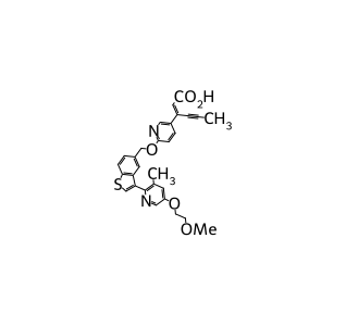 CC#C/C(=C\C(=O)O)c1ccc(OCc2ccc3scc(-c4ncc(OCCOC)cc4C)c3c2)nc1